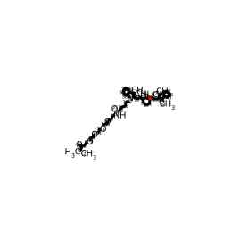 CC(C)C(=O)CCOCCOCCOCCOCCNC(=O)CCCCCN1/C(=C/C=C2C=C(/C=C/C3=[N+](C)c4ccccc4C3(C)C)CCC/2)C(C)(C)c2ccccc21